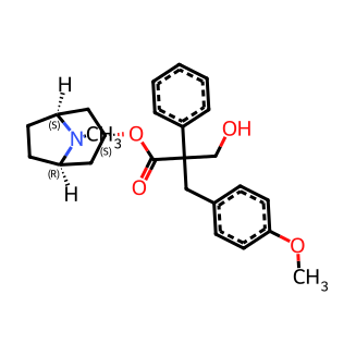 COc1ccc(CC(CO)(C(=O)O[C@@H]2C[C@H]3CC[C@@H](C2)N3C)c2ccccc2)cc1